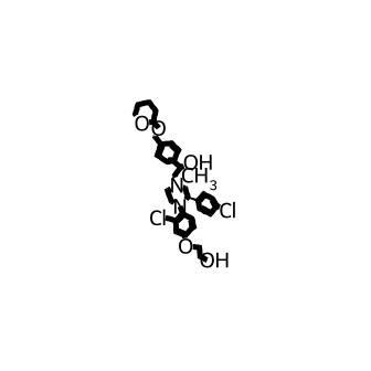 CC(O)(CN1CCN(c2ccc(OCCO)cc2Cl)[C@H](c2ccc(Cl)cc2)C1)c1ccc(COC2CCCCO2)cc1